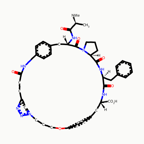 CN[C@@H](C)C(=O)N[C@H]1Cc2ccc(cc2)NC(=O)CCc2cn(nn2)CCCOc2ccc(cc2)C[C@@H](C(=O)O)NC(=O)[C@H](Cc2ccccc2)NC(=O)[C@@H]2CCCN2C1=O